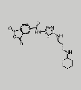 O=C(Nc1nnc(NCCCNC2CCCCC2)s1)c1ccc2c(c1)C(=O)OC2=O